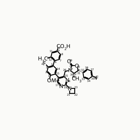 COc1cc(F)c(-c2ccc(C(=O)O)cc2C)cc1-c1cnc(N2CCC2)nc1CN1C(=O)O[C@H](c2ccc(F)cc2)[C@@H]1C